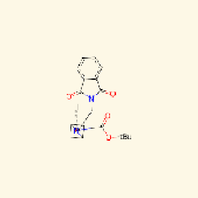 CC(C)(C)OC(=O)N1C2CC(C2)[C@@H]1CN1C(=O)c2ccccc2C1=O